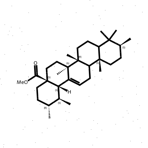 COC(=O)[C@]12CC[C@@H](C)[C@H](C)[C@H]1C1=CCC3[C@@]4(C)CC[C@H](C)C(C)(C)C4CC[C@@]3(C)[C@]1(C)CC2